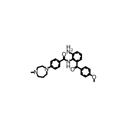 COc1ccc(C(=O)c2cccc(N)c2NC(=O)c2ccc(N3CCCN(C)CC3)cc2)cc1